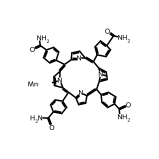 Cn1c2ccc1c(-c1ccc(C(N)=O)cc1)c1nc(c(-c3ccc(C(N)=O)cc3)c3ccc(c(-c4ccc(C(N)=O)cc4)c4nc(c2-c2ccc(C(N)=O)cc2)C=C4)n3C)C=C1.[Mn]